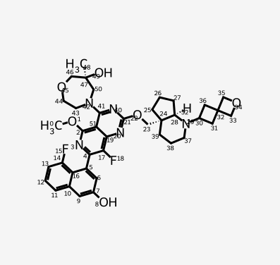 COc1nc(-c2cc(O)cc3cccc(F)c23)c(F)c2nc(OC[C@]34CCC[C@H]3N(C3CC5(COC5)C3)CCC4)nc(N3CCOC[C@@](C)(O)C3)c12